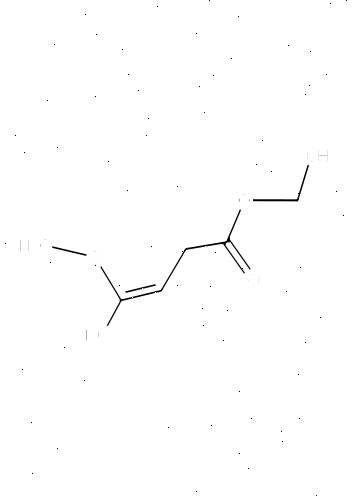 CCOC(=O)CC=C(C)OC